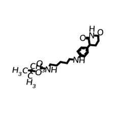 CC(C)(C)OC(=O)NCCCCCNc1ccc(C2CCC(=O)NC2=O)cc1